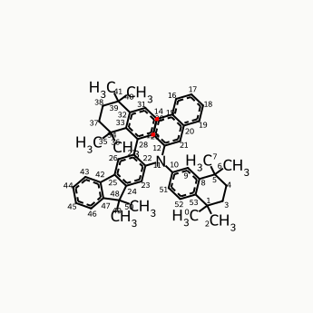 CC1(C)CCC(C)(C)c2cc(N(c3ccc4ccccc4c3)c3cc4c(cc3-c3cccc5c3C(C)(C)CCC5(C)C)-c3ccccc3C4(C)C)ccc21